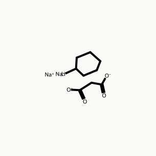 O=C([O-])CC(=O)[O-].[Li][CH]1CCCCC1.[Na+].[Na+]